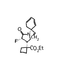 C=C[C@]1(N2C[C@H](C3(C(=O)OCC)CCC3)[C@H](F)C2=O)C=CC=CC1